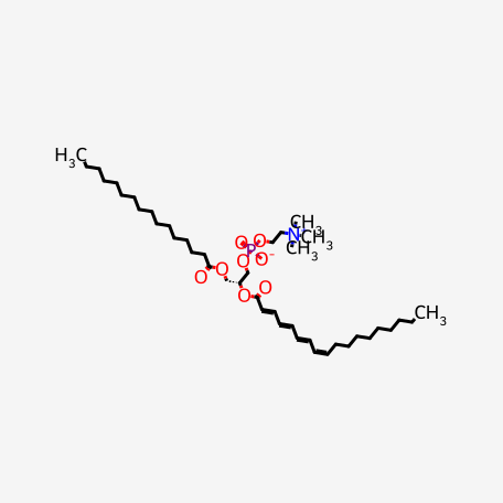 CCCCCCCCC/C=C\C=C\C=CC=CC(=O)O[C@H](COC(=O)CCCCCCCCCCCCCCC)COP(=O)([O-])OCC[N+](C)(C)C